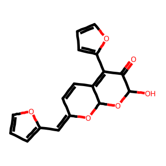 O=C1C(c2ccco2)=C2C=C/C(=C\c3ccco3)OC2OC1O